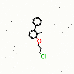 Cc1c(OCCCCl)cccc1-c1ccccc1